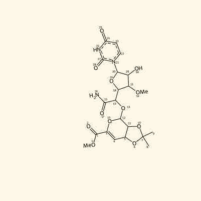 COC(=O)C1=CC2OC(C)(C)OC2C(OC(C(N)=O)C2OC(n3ccc(=O)[nH]c3=O)C(O)C2OC)O1